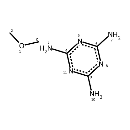 COC.Nc1nc(N)nc(N)n1